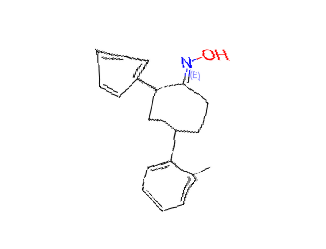 Cc1ccccc1C1CC/C(=N\O)C(c2ccccc2)C1